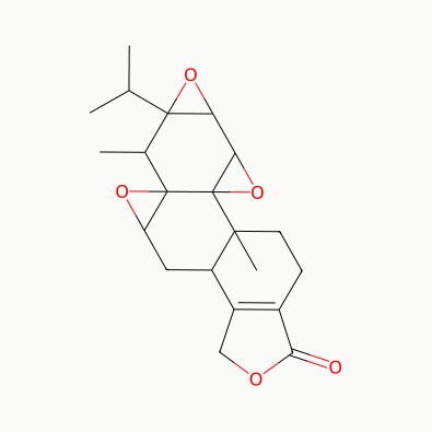 CC(C)C12OC1C1OC13C1(C)CCC4=C(COC4=O)C1CC1OC13C2C